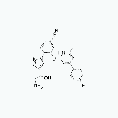 CC1=NC(c2ccc(F)cc2)=CC(Oc2cc(C#N)ccc2-n2cc(C(O)CN)cn2)N1